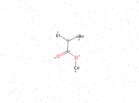 CCCCC(CC)C(=O)[O][Co]